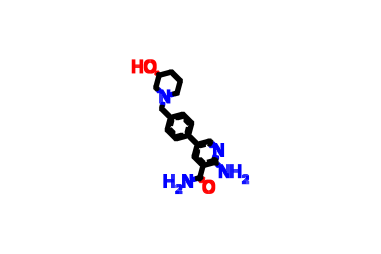 NC(=O)c1cc(-c2ccc(CN3CCCC(O)C3)cc2)cnc1N